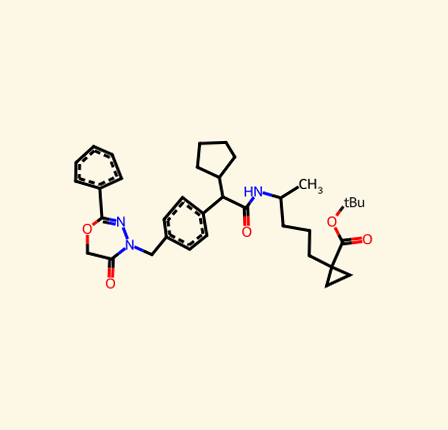 CC(CCCC1(C(=O)OC(C)(C)C)CC1)NC(=O)C(c1ccc(CN2N=C(c3ccccc3)OCC2=O)cc1)C1CCCC1